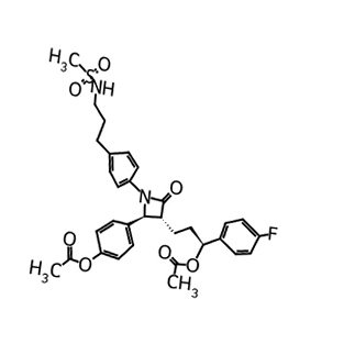 CC(=O)Oc1ccc([C@@H]2[C@@H](CC[C@H](OC(C)=O)c3ccc(F)cc3)C(=O)N2c2ccc(CCCNS(C)(=O)=O)cc2)cc1